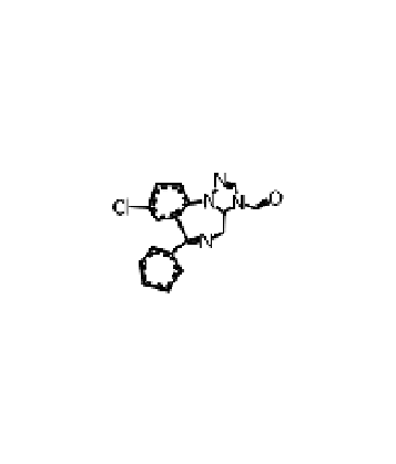 O=CN1C=NN2c3ccc(Cl)cc3C(c3ccccc3)=NCC12